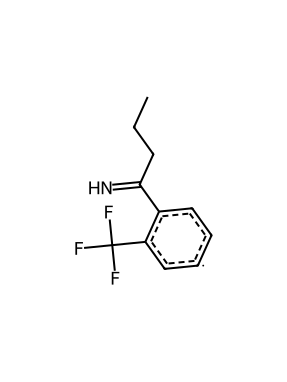 CCCC(=N)c1cc[c]cc1C(F)(F)F